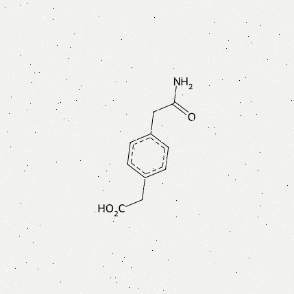 NC(=O)Cc1ccc(CC(=O)O)cc1